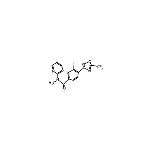 CN(C(=O)c1ccc(-c2noc(C(F)(F)F)n2)c(F)c1)c1ccccn1